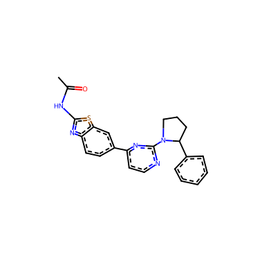 CC(=O)Nc1nc2ccc(-c3ccnc(N4CCCC4c4ccccc4)n3)cc2s1